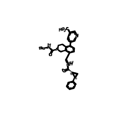 CC(C)(C)NC(=O)N1CCc2c(-c3cncc(C(=O)O)c3)ccc(CNC(=O)[C@@H]3C[C@H]3c3ccccc3)c2C1